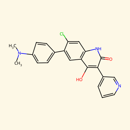 CN(C)c1ccc(-c2cc3c(O)c(-c4cccnc4)c(=O)[nH]c3cc2Cl)cc1